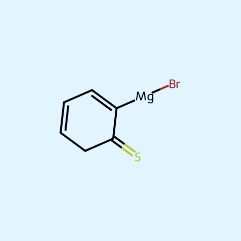 S=C1CC=CC=[C]1[Mg][Br]